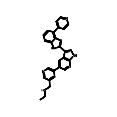 CCNCc1cncc(-c2cnc3[nH]nc(-c4nc5c(-c6ccncc6)cccc5[nH]4)c3c2)c1